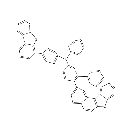 c1ccc(-c2cc(N(c3ccccc3)c3ccc(-c4cccc5c4sc4ccccc45)cc3)ccc2-c2ccc3ccc4oc5ccccc5c4c3c2)cc1